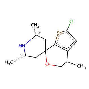 CC1COC2(C[C@@H](C)N[C@@H](C)C2)c2sc(Cl)cc21